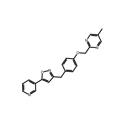 Cc1cnc(COc2ccc(Cc3cc(-c4cccnc4)on3)cc2)nc1